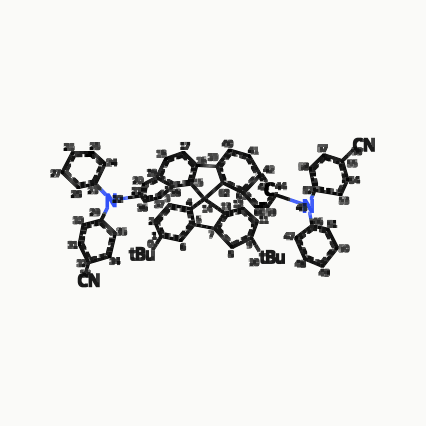 CC(C)(C)c1ccc2c(c1)-c1cc(C(C)(C)C)ccc1C21c2c(ccc3cc(N(c4ccccc4)c4ccc(C#N)cc4)ccc23)-c2ccc3cc(N(c4ccccc4)c4ccc(C#N)cc4)ccc3c21